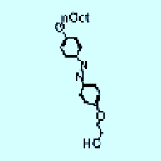 CCCCCCCCOc1ccc(N=Nc2ccc(OCCO)cc2)cc1